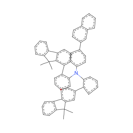 CC1(C)c2ccccc2-c2ccc(-c3ccccc3N(c3ccc(-c4ccc5ccccc5c4)cc3)c3ccccc3-c3cccc4c3C(C)(C)c3ccccc3-4)cc21